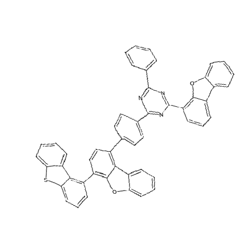 c1ccc(-c2nc(-c3ccc(-c4ccc(-c5cccc6sc7ccccc7c56)c5oc6ccccc6c45)cc3)nc(-c3cccc4c3oc3ccccc34)n2)cc1